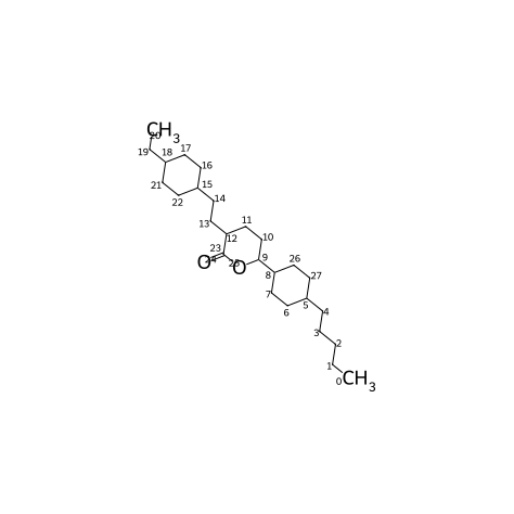 CCCCCC1CCC(C2CCC(CCC3CCC(CC)CC3)C(=O)O2)CC1